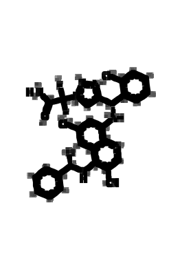 CC[C@@H](Nc1c(C#N)cnc2c(N[C@H](c3cn(C(F)(F)C(N)=O)nn3)c3ccccc3Cl)cc(Cl)cc12)c1ccccc1